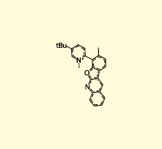 Cc1ccc2c(oc3nc4ccccc4cc32)c1-c1ccc(C(C)(C)C)c[n+]1C